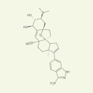 CN(C)[C@H]1C[C@@]23CC[C@]4(O2)C2CC=C(c5ccc6c(N)n[nH]c6c5)[C@@]2(C)CCC4(C#N)C=C3[C@@H](O)[C@@H]1O